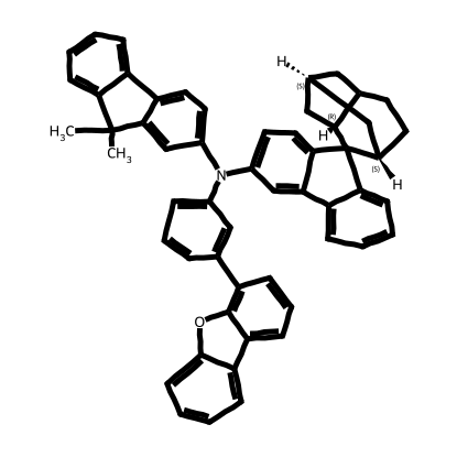 CC1(C)c2ccccc2-c2ccc(N(c3cccc(-c4cccc5c4oc4ccccc45)c3)c3ccc4c(c3)-c3ccccc3C43[C@H]4CCC5C[C@@H](C4)C[C@H]53)cc21